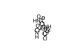 O=C1Nc2c(OC3CCNCC3F)cc(NS(=O)(=O)c3ccc(Cl)cc3F)cc2C12CCC2